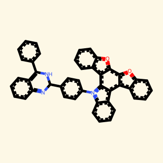 c1ccc(C2=c3ccccc3=NC(c3ccc(-n4c5ccccc5c5c6c7ccccc7oc6c6oc7ccccc7c6c54)cc3)N2)cc1